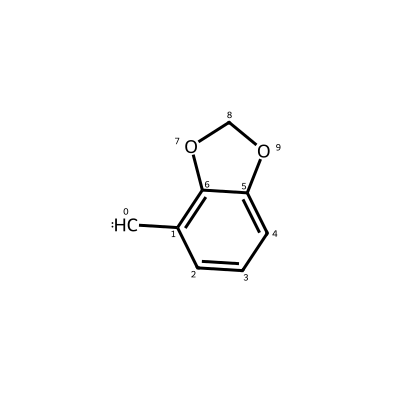 [CH]c1cccc2c1OCO2